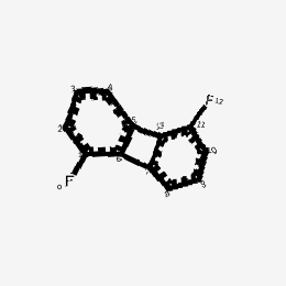 Fc1cccc2c1-c1cccc(F)c1-2